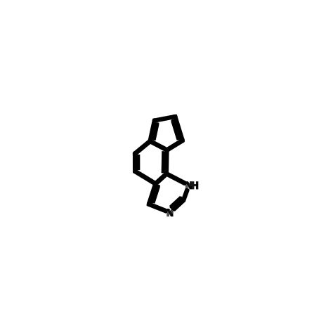 c1cc2ccc3cnc[nH]c3c2c1